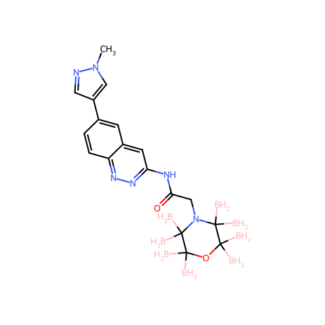 BC1(B)OC(B)(B)C(B)(B)N(CC(=O)Nc2cc3cc(-c4cnn(C)c4)ccc3nn2)C1(B)B